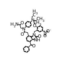 CCN(CC)c1ccc(N(CC(N)=O)C(=O)Cc2ccc(C(=O)c3ccccc3)c3[nH]c(=O)n(Cc4cc([N+](=O)[O-])ccc4OC)c23)cc1